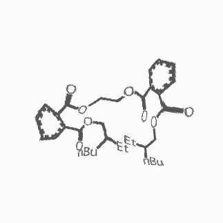 CCCCC(CC)COC(=O)c1ccccc1C(=O)OCCOC(=O)c1ccccc1C(=O)OCC(CC)CCCC